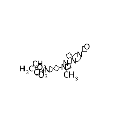 Cc1cc(N2CCN(C3COC3)CC23CCC3)nn1C1CC2(C1)CN(C(=O)OC(C)(C)C)C2